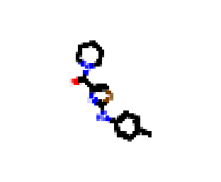 Cc1ccc(Nc2nc(C(=O)N3CCCCC3)cs2)cc1